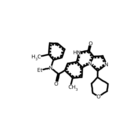 CCN(C(=O)c1cc2[nH]c(=O)c3cnc(C4CCOCC4)n3c2cc1C)c1ccccc1C